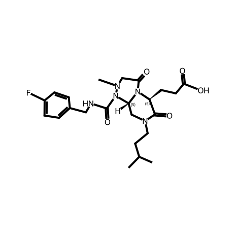 CC(C)CCN1C[C@H]2N(C(=O)CN(C)N2C(=O)NCc2ccc(F)cc2)[C@@H](CCC(=O)O)C1=O